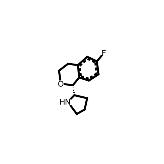 Fc1ccc2c(c1)CCO[C@H]2C1CCCN1